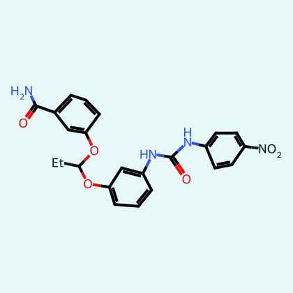 CCC(Oc1cccc(NC(=O)Nc2ccc([N+](=O)[O-])cc2)c1)Oc1cccc(C(N)=O)c1